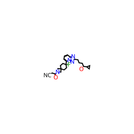 N#CCC(=O)N1CC2(CCC(F)(c3cccc4nc(CCCC(=O)C5CC5)nn34)CC2)C1